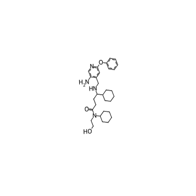 Nc1cnc(Oc2ccccc2)cc1CNC(CCC(=O)N(CCO)C1CCCCC1)C1CCCCC1